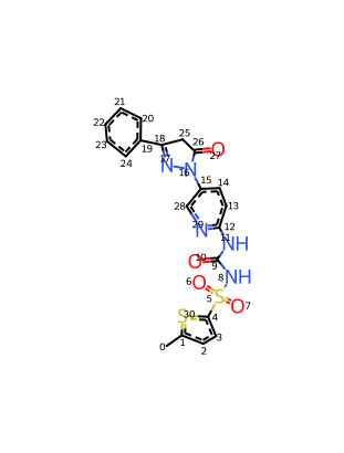 Cc1ccc(S(=O)(=O)NC(=O)Nc2ccc(N3N=C(c4ccccc4)CC3=O)cn2)s1